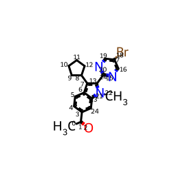 CC(=O)c1ccc2c(C3CCCC3)c(-c3ncc(Br)cn3)n(C)c2c1